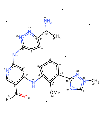 CCC(=O)c1cnc(Nc2ccc(C(C)N)nn2)cc1Nc1cccc(-c2ncn(C)n2)c1OC